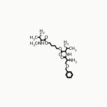 CNC(C(=O)OCCCCOC(=O)C(NC(=O)C(N)COCc1ccccc1)C(C)C)C(C)C